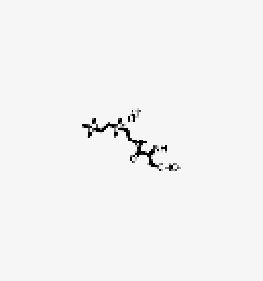 C[N+](C)(C)CC[N+](C)(C)CCNC(=O)C(=N)[CH][C]=O.[Cl-].[Cl-]